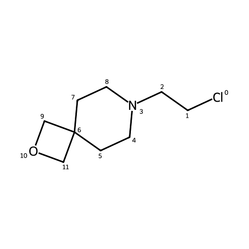 ClCCN1CCC2(CC1)COC2